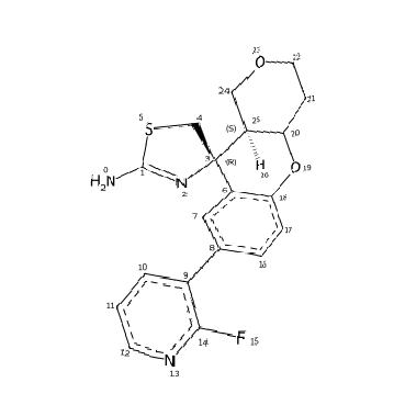 NC1=N[C@@]2(CS1)c1cc(-c3cccnc3F)ccc1OC1CCOC[C@@H]12